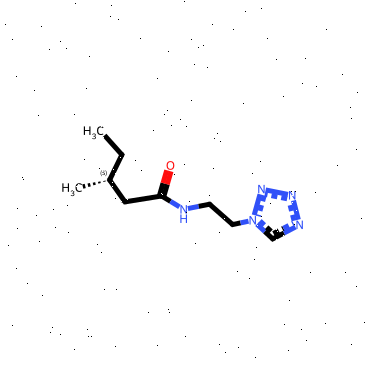 CC[C@@H](C)[CH]C(=O)NCCn1cnnn1